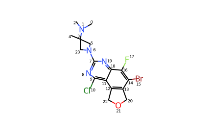 CN(C)C1(C)CN(c2nc(Cl)c3c4c(c(Br)c(F)c3n2)COC4)C1